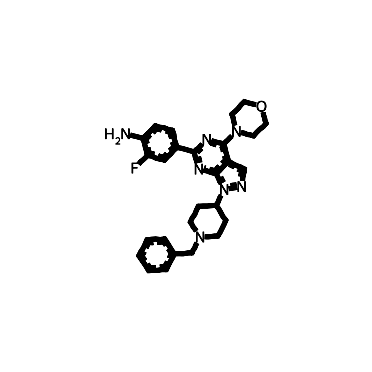 Nc1ccc(-c2nc(N3CCOCC3)c3cnn(C4CCN(Cc5ccccc5)CC4)c3n2)cc1F